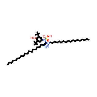 CCCCCCCCCCCCCCCCCCc1nnn(CCCCCCCCCCCCCCCCCC)c1N(c1cc(C(C)(C)C)c(O)c(C(C)(C)C)c1)S(=O)(=O)O